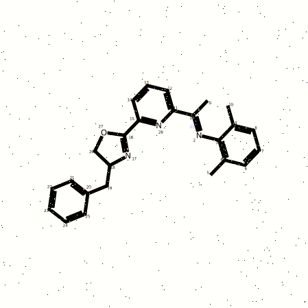 C/C(=N\c1c(C)cccc1C)c1cccc(C2=NC(Cc3ccccc3)CO2)n1